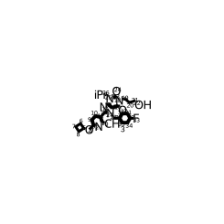 Cc1nc(OC2CCC2)ccc1-c1nc2c(c(=O)n(CCCO)c(=O)n2C(C)C)n1Cc1ccc(F)cc1